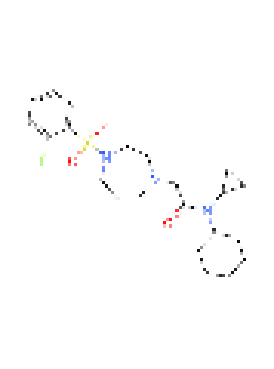 O=C(CN1CCCN(S(=O)(=O)c2ccccc2F)CC1)N(C1CCCCC1)C1CC1